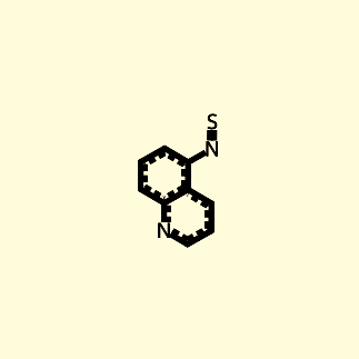 S=Nc1cccc2ncccc12